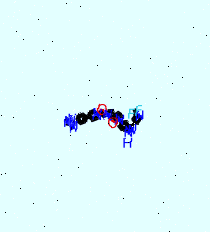 C=N/C(=N\N(C)C)c1ccc(C2=CCN(C(=O)CN3CC[C@]4(CCN(c5ccc6[nH]nc(-c7ccnc(C(C)(F)F)c7)c6c5)C4=O)C3)CC2)cc1